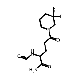 NC(=O)C(CCC(=O)N1CCCC(F)(F)C1)NC=O